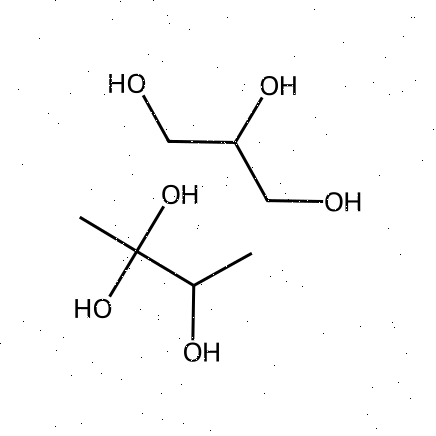 CC(O)C(C)(O)O.OCC(O)CO